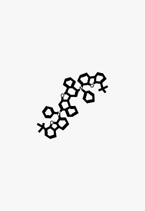 CC(C)(C)C1=CC=CC2C1OC1C(N(C3=CC4C(OC5C=C(N(C6=CC=CC7C6OC6C(C(C)(C)C)=CC=CC67)c6ccccc6)c6ccccc6C54)c4ccccc43)c3ccccc3)=CC=CC12